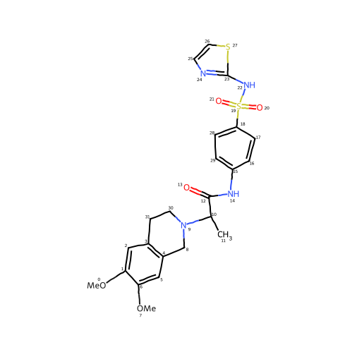 COc1cc2c(cc1OC)CN(C(C)C(=O)Nc1ccc(S(=O)(=O)Nc3nccs3)cc1)CC2